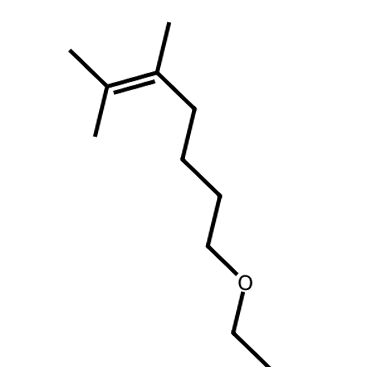 [CH2]COCCCCC(C)=C(C)C